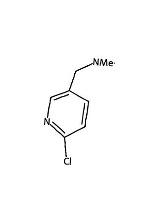 C[N]Cc1ccc(Cl)nc1